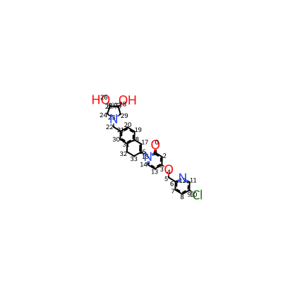 O=c1cc(OCc2ccc(Cl)cn2)ccn1C1=Cc2ccc(CN3C[C@@H](O)[C@@H](O)C3)cc2CC1